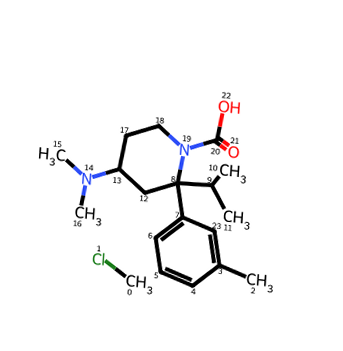 CCl.Cc1cccc(C2(C(C)C)CC(N(C)C)CCN2C(=O)O)c1